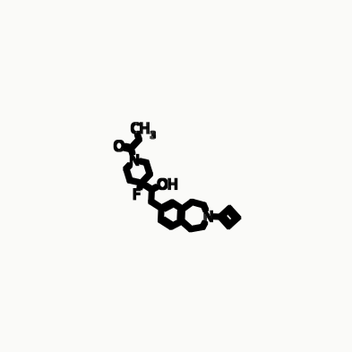 CCC(=O)N1CCC(F)(C(O)Cc2ccc3c(c2)CCN(C2=CC=C2)CC3)CC1